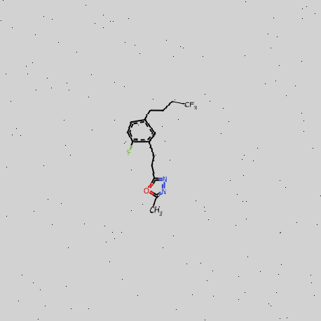 Cc1nnc(C[CH]c2cc(CCCC(F)(F)F)ccc2F)o1